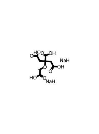 O=C(O)[CH]OC(CC(=O)O)(CC(=O)O)C(=O)O.[NaH].[NaH]